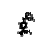 CN(C)Cc1ccc(C2(N)CC2)nc1